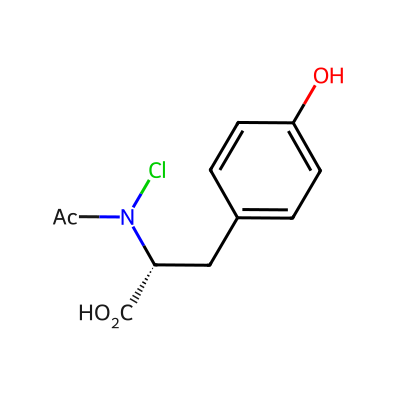 CC(=O)N(Cl)[C@H](Cc1ccc(O)cc1)C(=O)O